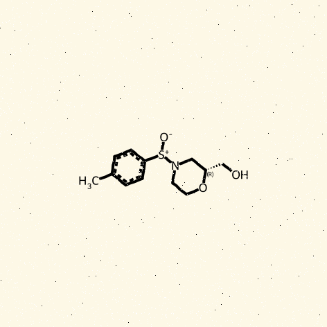 Cc1ccc([S+]([O-])N2CCO[C@@H](CO)C2)cc1